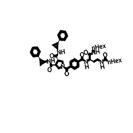 CCCCCCNC(=O)[C@@H](CCNC(=O)CCCCCC)NC(=O)c1ccc(C(=O)N2C[C@@H](C(=O)NC3C[C@@H]3c3ccccc3)[C@H](C(=O)N[C@H]3C[C@@H]3c3ccccc3)C2)cc1